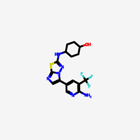 Nc1ncc(-c2cnc3sc(NC4CCC(O)CC4)nn23)cc1C(F)(F)F